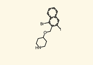 Brc1c(COC2CCNCC2)c(I)cc2ccccc12